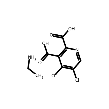 CCN.O=C(O)c1ncc(Cl)c(Cl)c1C(=O)O